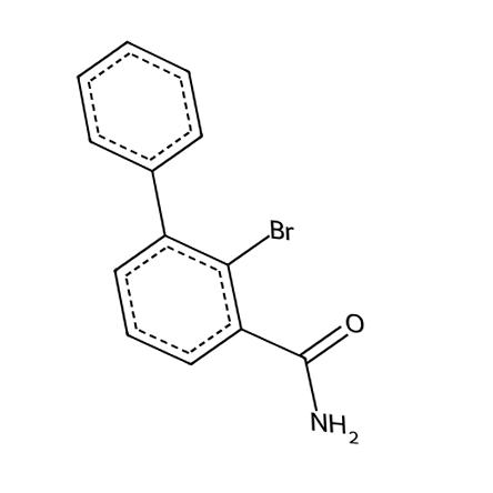 NC(=O)c1cccc(-c2ccccc2)c1Br